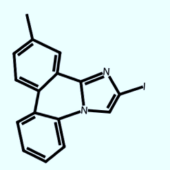 Cc1ccc2c3ccccc3n3cc(I)nc3c2c1